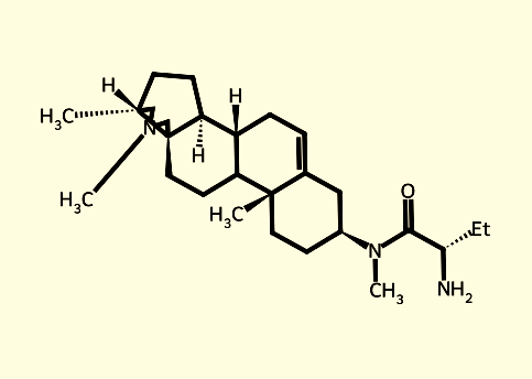 CC[C@H](N)C(=O)N(C)[C@H]1CC[C@@]2(C)C(=CC[C@@H]3C2CC[C@]24CN(C)[C@@H](C)[C@H]2CC[C@@H]34)C1